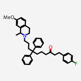 COc1ccc2c(c1)C(C)N(CCCC(CCCC(=O)CCc1ccc(F)cc1)(c1ccccc1)c1ccccc1)CC2